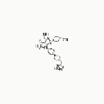 N#CCC1CCN(c2nc(C=N)c(C(N)=O)c(Nc3ccc(N4CCC(Cc5nn[nH]n5)CC4)nc3)n2)CC1